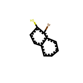 Sc1ccc2ccccc2c1Br